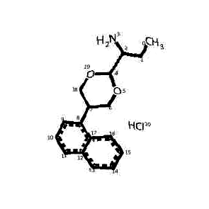 CCC(N)C1OCC(c2cccc3ccccc23)CO1.Cl